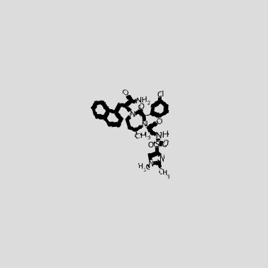 Cc1nc(S(=O)(=O)NCC(=O)N2[C@H](C)CCN(C(Cc3cccc4ccccc34)C(N)=O)C(=O)[C@@H]2c2cccc(Cl)c2)cn1C